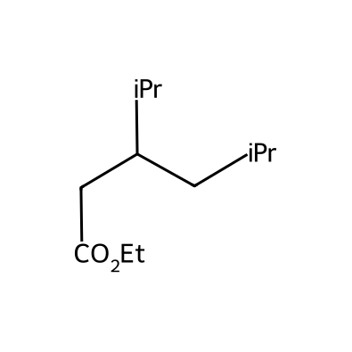 CCOC(=O)CC(CC(C)C)C(C)C